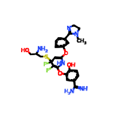 CN1CCN=C1c1cccc(OC2=CC(F)(SCC(N)CO)C(F)=C(Oc3cc(C(=N)N)ccc3O)N2)c1